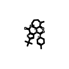 CC1=CC[C@@H](C(=O)N(c2cc(C(C)(C)C)sc2C(=O)O)[C@H]2CCCCN(C)C2=O)CC1